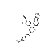 CN1CCC(COc2cnc(-c3ccc4nn(C)cc4c3)c(-c3ccc(C#N)c(F)c3)c2)C1